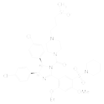 CCOc1cc(OC)c(S(=O)(=O)N2CCCCC2)cc1C1=N[C@@H](c2ccc(Cl)cc2)[C@@H](c2ccc(Cl)cc2)N1C(=O)N1CCN(CCC[S+](C)[O-])CC1